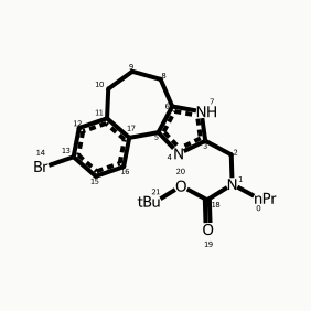 CCCN(Cc1nc2c([nH]1)CCCc1cc(Br)ccc1-2)C(=O)OC(C)(C)C